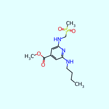 CCCCNc1cc(C(=O)OC)cc(NCS(C)(=O)=O)n1